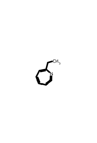 CCC1=CC=CC=C=N1